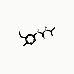 CCc1cc(NC(=O)NC(C)C)ccc1I